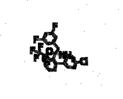 N[C@@](Cc1cc(F)cc(F)c1)(OC(=O)C(F)(F)F)c1ncccc1-c1ccc(Cl)cc1